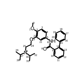 COc1ccc(NC(=O)c2ccccc2-c2ccccc2)cc1OCCN(C(C)C)C(C)C